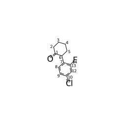 O=C1CCCCC1c1ccc(Cl)cc1F